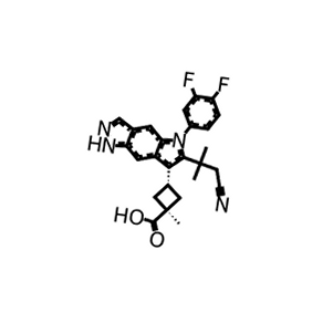 CC(C)(CC#N)c1c([C@H]2C[C@](C)(C(=O)O)C2)c2cc3[nH]ncc3cc2n1-c1ccc(F)c(F)c1